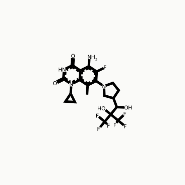 Cc1c(N2CCC(C(O)C(O)(C(F)(F)F)C(F)(F)F)C2)c(F)c(N)c2c(=O)[nH]c(=O)n(C3CC3)c12